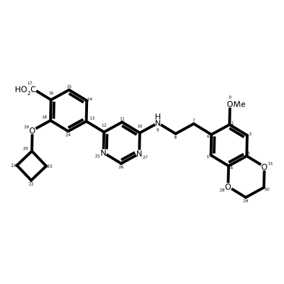 COc1cc2c(cc1CCNc1cc(-c3ccc(C(=O)O)c(OC4CCC4)c3)ncn1)OCCO2